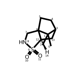 CC1(C)C2CCC13CNS(=O)(=O)[C@H]3C2